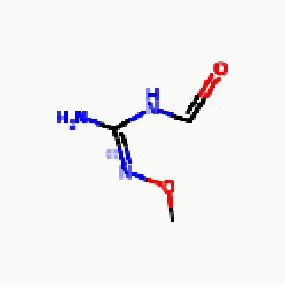 CO/N=C(/N)NC=O